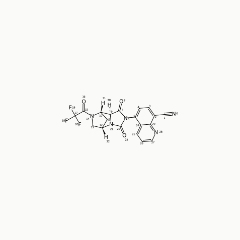 N#Cc1ccc(N2C(=O)[C@@H]3[C@@H]4C[C@@H](CN4C(=O)C(F)(F)F)N3C2=O)c2cccnc12